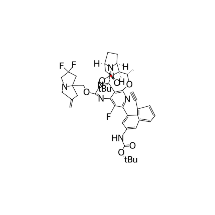 C#Cc1cccc2cc(NC(=O)OC(C)(C)C)cc(-c3nc4c5c(nc(OCC67CC(=C)CN6CC(F)(F)C7)nc5c3F)N3C[C@H]5CC[C@@H]([C@H]3[C@H](C)O4)N5C(=O)OC(C)(C)C)c12